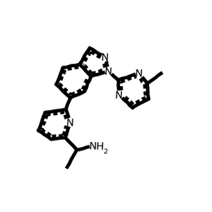 Cc1ccnc(-n2ncc3ccc(-c4cccc(C(C)N)n4)cc32)n1